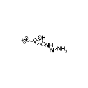 CC(C)OC(=O)CCC[C@H]1CCC2C3C(CC[C@@]21C)[C@@]1(C)CC[C@H](NCCCN(C)CCCN)CC1C[C@@H]3O